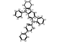 c1ccc(-c2cnc(-n3c4ccccc4c4cc5c6c(n(-c7ccccc7)c5cc43)CCCC6)nc2)cc1